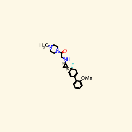 COc1ccccc1C1=CCC(F)([C@@H]2C[C@H]2NCC(=O)N2CCN(C)CC2)C=C1